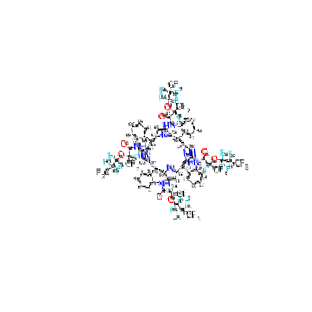 O=C(Nc1ccccc1-c1c2nc(c(-c3ccccc3NC(=O)C(F)(OC(F)(F)C(F)(F)C(F)(F)F)C(F)(F)F)c3ccc([nH]3)c(-c3ccccc3NC(=O)C(F)(OC(F)(F)C(F)(F)C(F)(F)F)C(F)(F)F)c3nc(c(-c4ccccc4NC(=O)C(F)(OC(F)(F)C(F)(F)C(F)(F)F)C(F)(F)F)c4ccc1[nH]4)C=C3)C=C2)C(F)(OC(F)(F)C(F)(F)C(F)(F)F)C(F)(F)F